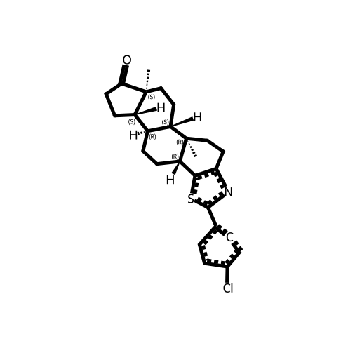 C[C@]12CCc3nc(-c4ccc(Cl)cc4)sc3[C@@H]1CC[C@@H]1[C@@H]2CC[C@]2(C)C(=O)CC[C@@H]12